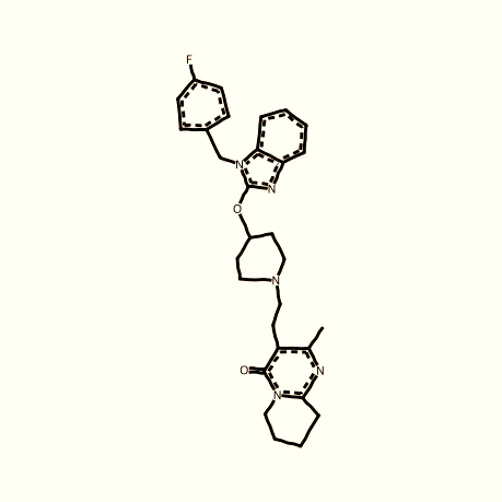 Cc1nc2n(c(=O)c1CCN1CCC(Oc3nc4ccccc4n3Cc3ccc(F)cc3)CC1)CCCC2